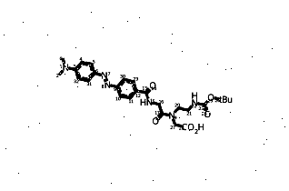 CN(C)c1ccc(/N=N/c2ccc(C(=O)NCC(=O)N(CCNC(=O)OC(C)(C)C)CC(=O)O)cc2)cc1